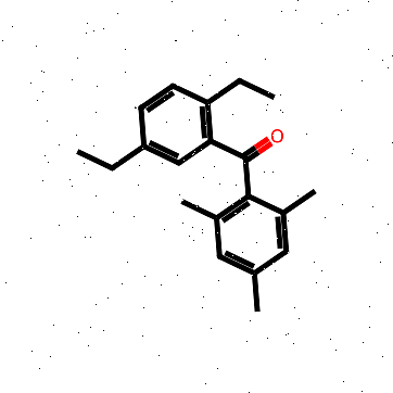 CCc1[c]cc(CC)c(C(=O)c2c(C)cc(C)cc2C)c1